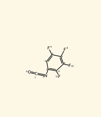 O=C=Nc1cc(F)c(F)c(F)c1F